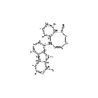 C=C1/C=C\C=C/N(c2cccc3c2sc2c(C)cccc23)c2ccccc21